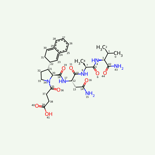 CC(C)[C@H](NC(=O)[C@H](C)NC(=O)[C@H](CC(N)=O)NC(=O)[C@@H]1C([C@H]2C=c3ccccc3=CC2)CCN1C(=O)CCC(=O)O)C(N)=O